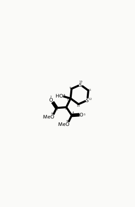 COC(=O)C(C(=O)OC)C1(O)CSCSC1